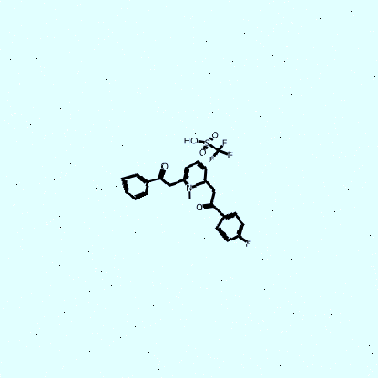 CN1C(CC(=O)c2ccccc2)=CC=CC1CC(=O)c1ccc(F)cc1.O=S(=O)(O)C(F)(F)F